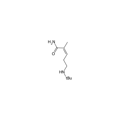 CC(=CCCNC(C)(C)C)C(N)=O